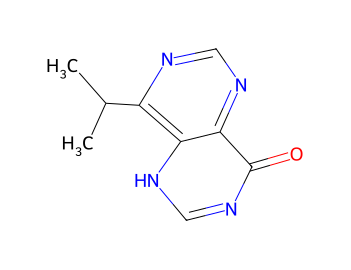 CC(C)c1ncnc2c(=O)nc[nH]c12